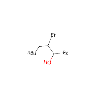 CCCCCC(CC)C(O)CC